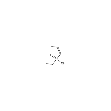 C/C=C\P(=O)(O)CC